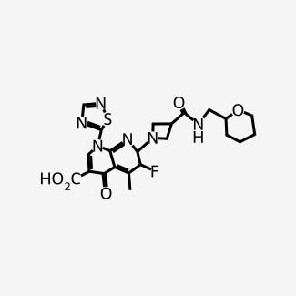 CC1=c2c(=O)c(C(=O)O)cn(-c3ncns3)c2=NC(N2CC(C(=O)NCC3CCCCO3)C2)C1F